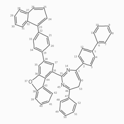 C1=C(c2ccc(-c3ccccc3)cc2)N=C(c2cc(-c3ccc(-c4cccc5ccccc45)cc3)cc3oc4ccccc4c23)N=C(c2ccccc2)C1